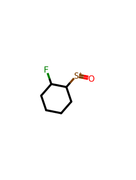 O=[S+]C1CCCCC1F